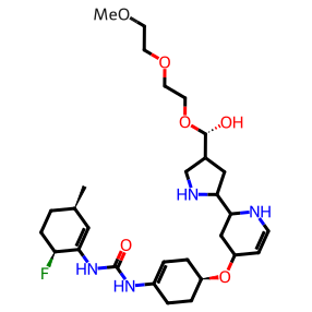 COCCOCCO[C@H](O)C1CNC(C2CC(O[C@@H]3CC=C(NC(=O)NC4=C[C@H](C)CC[C@@H]4F)CC3)C=CN2)C1